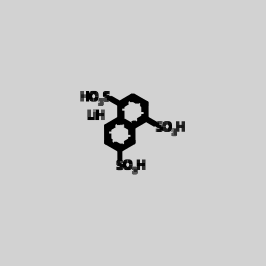 O=S(=O)(O)c1ccc2c(S(=O)(=O)O)ccc(S(=O)(=O)O)c2c1.[LiH]